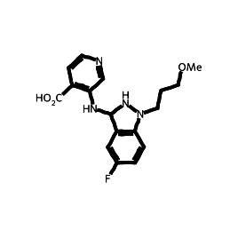 COCCCN1NC(Nc2cnccc2C(=O)O)c2cc(F)ccc21